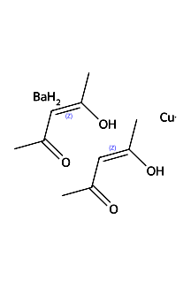 CC(=O)/C=C(/C)O.CC(=O)/C=C(/C)O.[BaH2].[Cu]